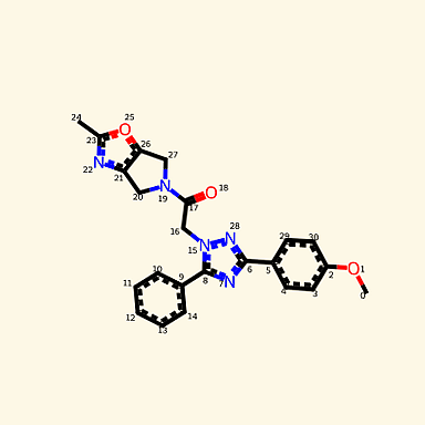 COc1ccc(-c2nc(-c3ccccc3)n(CC(=O)N3Cc4nc(C)oc4C3)n2)cc1